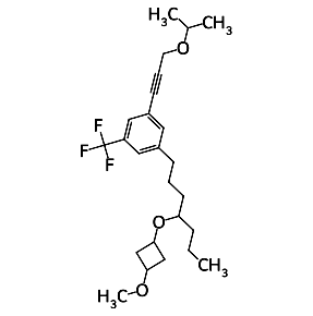 CCCC(CCCc1cc(C#CCOC(C)C)cc(C(F)(F)F)c1)OC1CC(OC)C1